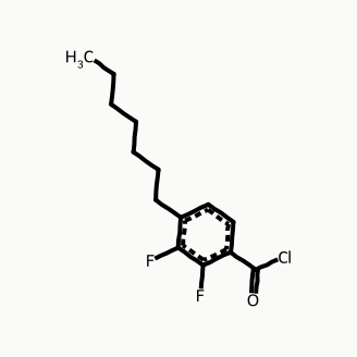 CCCCCCCc1ccc(C(=O)Cl)c(F)c1F